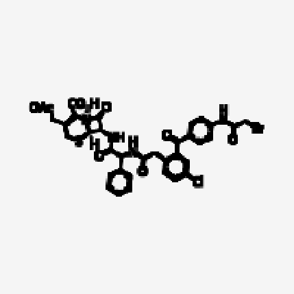 CC(=O)OCC1=C(C(=O)O)N2C(=O)[C@@H](NC(=O)[C@@H](NC(=O)Cc3ccc(Cl)cc3C(=O)c3ccc(NC(=O)CBr)cc3)c3ccccc3)[C@H]2SC1